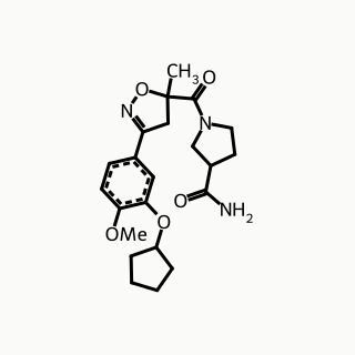 COc1ccc(C2=NOC(C)(C(=O)N3CCC(C(N)=O)C3)C2)cc1OC1CCCC1